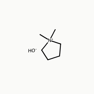 C[N+]1(C)CCCC1.[OH-]